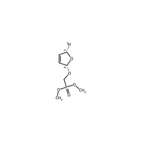 [3H][C@H]1C=C[C@@H](OCP(=O)(OC)OC)O1